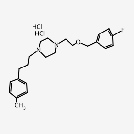 Cc1ccc(CCCN2CCN(CCOCc3ccc(F)cc3)CC2)cc1.Cl.Cl